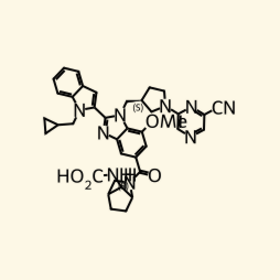 COc1cc(C(=O)N2CC3CCC2[C@@H]3NC(=O)O)cc2nc(-c3cc4ccccc4n3CC3CC3)n(C[C@H]3CCN(c4cncc(C#N)n4)C3)c12